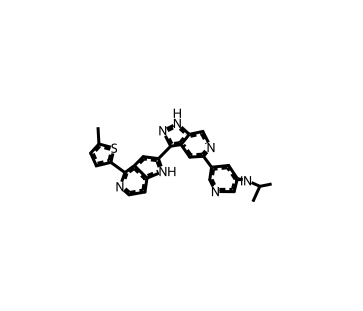 Cc1ccc(-c2nccc3[nH]c(-c4n[nH]c5cnc(-c6cncc(NC(C)C)c6)cc45)cc23)s1